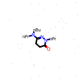 CCCCN(CCC)C1=NN(CCC)C(=O)CC1